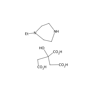 CCN1CCNCC1.O=C(O)CC(O)(CC(=O)O)C(=O)O